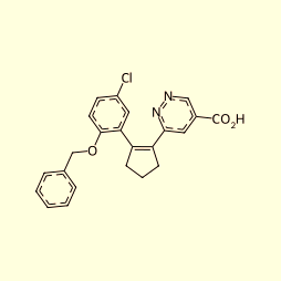 O=C(O)c1cnnc(C2=C(c3cc(Cl)ccc3OCc3ccccc3)CCC2)c1